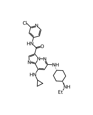 CCN[C@H]1CC[C@H](Nc2cc(NC3CC3)c3ncc(C(=O)Nc4ccnc(Cl)c4)n3n2)CC1